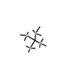 CS(C)(C)C(S(C)(C)C)(S(C)(C)C)S(C)(C)C